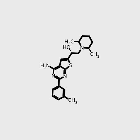 Cc1cccc(-c2nc(N)c3cc([C@H](O)CN4[C@H](C)CCC[C@@H]4C)sc3n2)c1